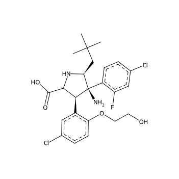 CC(C)(C)C[C@@H]1NC(C(=O)O)[C@H](c2cc(Cl)ccc2OCCO)[C@@]1(N)c1ccc(Cl)cc1F